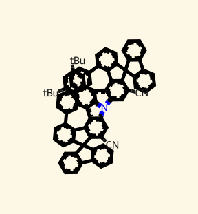 CC(C)(C)c1cc(C(C)(C)C)c2cc3c4c5c(c(C#N)cc4n4c6cc(C#N)c7c(c6c(c2c1)c34)-c1c(-c2ccccc2)cccc1C71c2ccccc2-c2ccccc21)C1(c2ccccc2-c2ccccc21)c1cccc(-c2ccccc2)c1-5